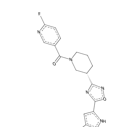 Cc1c[nH]c(-c2nc([C@H]3CCCN(C(=O)c4ccc(F)nc4)C3)no2)c1